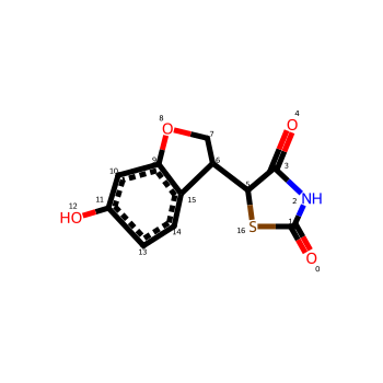 O=C1NC(=O)C(C2COc3cc(O)ccc32)S1